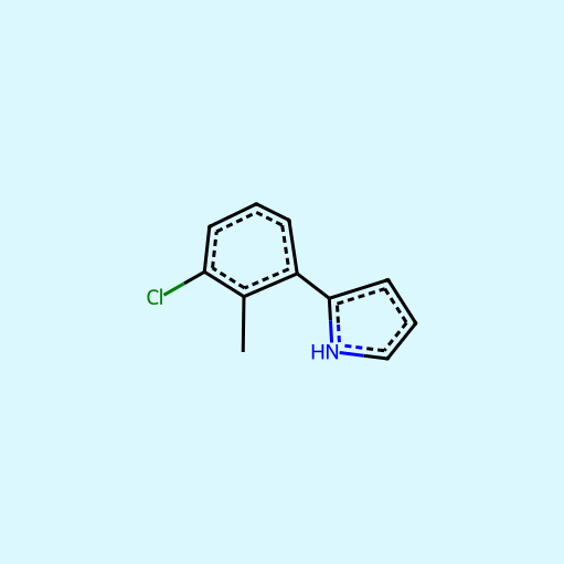 Cc1c(Cl)cccc1-c1ccc[nH]1